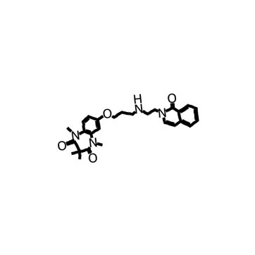 CN1C(=O)C(C)(C)C(=O)N(C)c2cc(OCCCNCCn3ccc4ccccc4c3=O)ccc21